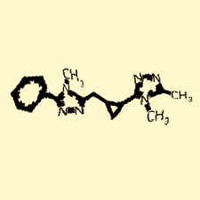 Cc1nnc(C2CC2Cc2nnc(-c3ccccc3)n2C)n1C